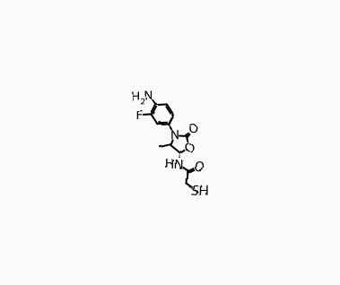 CC1[C@@H](NC(=O)CS)OC(=O)N1c1ccc(N)c(F)c1